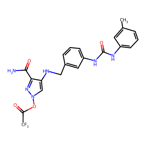 Cc1cccc(NC(=O)Nc2cccc(CNc3cn(OC(=O)C(F)(F)F)nc3C(N)=O)c2)c1